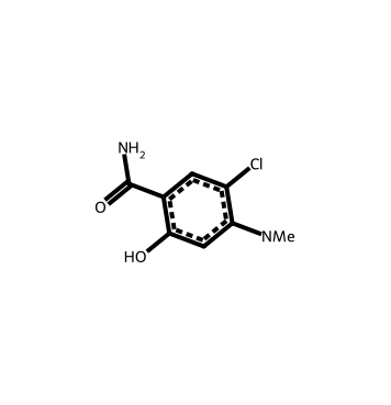 CNc1cc(O)c(C(N)=O)cc1Cl